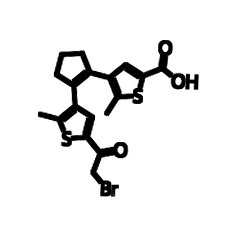 Cc1sc(C(=O)O)cc1C1=C(c2cc(C(=O)CBr)sc2C)CCC1